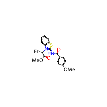 CCC(C(=O)OC)n1/c(=N/C(=O)c2ccc(OC)cc2)sc2ccccc21